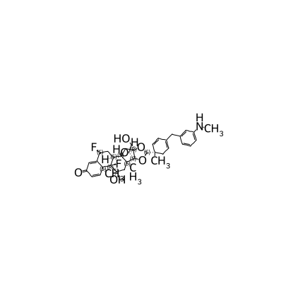 CNc1cccc(CC2=CCC(C)([C@H]3O[C@@H]4C[C@H]5[C@@H]6C[C@H](F)C7=CC(=O)C=C[C@]7(C)[C@@]6(F)[C@@H](O)C[C@]5(C)[C@]4(C(=O)CO)O3)C=C2)c1